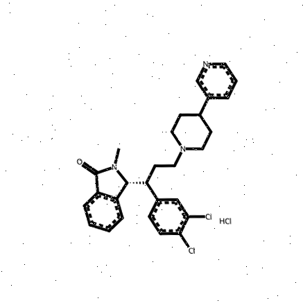 CN1C(=O)c2ccccc2[C@H]1C(CCN1CCC(c2cccnc2)CC1)c1ccc(Cl)c(Cl)c1.Cl